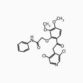 COc1ccc(C(=O)Cc2c(Cl)cncc2Cl)c(OCC(=O)Nc2ccccc2)c1OC